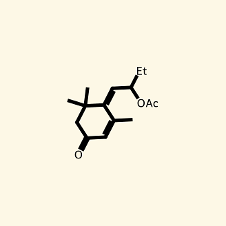 CCC(/C=C1\C(C)=CC(=O)CC1(C)C)OC(C)=O